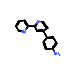 Nc1ccc(-c2ccnc(-c3ccccn3)c2)cc1